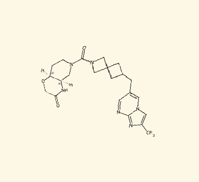 O=C1CO[C@H]2CCN(C(=O)N3CC4(CC(Cc5cnc6nc(C(F)(F)F)cn6c5)C4)C3)C[C@H]2N1